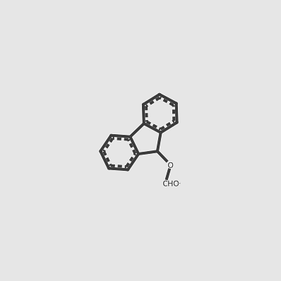 O=[C]OC1c2ccccc2-c2ccccc21